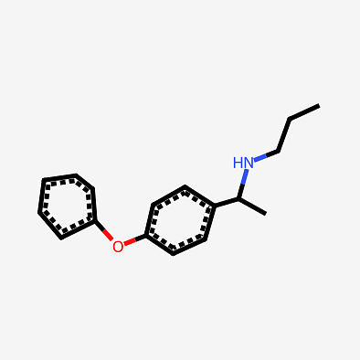 CCCNC(C)c1ccc(Oc2ccccc2)cc1